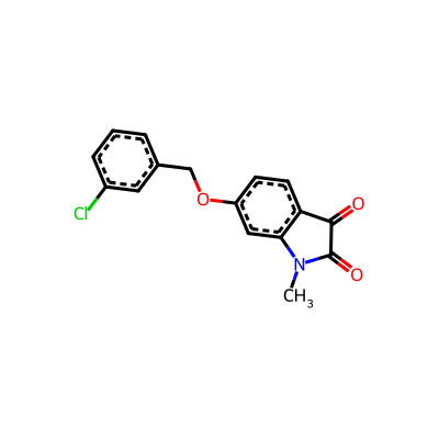 CN1C(=O)C(=O)c2ccc(OCc3cccc(Cl)c3)cc21